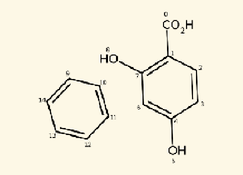 O=C(O)c1ccc(O)cc1O.c1ccccc1